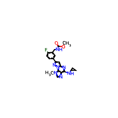 COC(=O)NCc1cc(-c2cc3nc(NC4CC4)c4ncn(C)c4n3n2)ccc1F